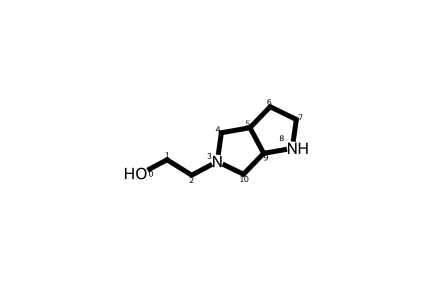 OCCN1CC2CCNC2C1